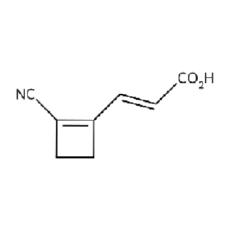 N#CC1=C(C=CC(=O)O)CC1